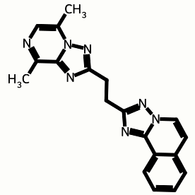 Cc1ncc(C)n2nc(CCc3nc4c5ccccc5ccn4n3)nc12